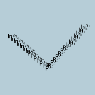 [In+3].[In+3].[In+3].[In+3].[In+3].[In+3].[In+3].[In+3].[In+3].[In+3].[In+3].[In+3].[In+3].[In+3].[P-3].[P-3].[P-3].[P-3].[P-3].[P-3].[P-3].[P-3].[P-3].[P-3].[P-3].[P-3].[P-3].[P-3]